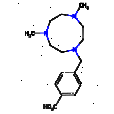 CN1CCN(C)CCN(Cc2ccc(C(=O)O)cc2)CC1